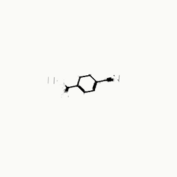 N#CC1=CC=C(C(=O)O)CC1